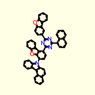 c1ccc2c(-c3nc(-c4ccc5oc6ccccc6c5c4)nc(-c4ccc(-n5c6ccccc6c6c7ccccc7ccc65)c5oc6ccccc6c45)n3)cccc2c1